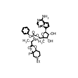 CCN1CCC(OC(=O)[C@H](C)NP(=O)(OC[C@@]2(C)O[C@@H](c3ccc4c(N)ncnn34)[C@H](O)[C@@H]2O)Oc2ccccc2)C(F)(F)C1